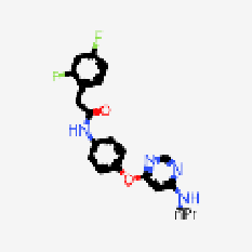 CCCNc1cc(Oc2ccc(NC(=O)Cc3ccc(F)cc3F)cc2)ncn1